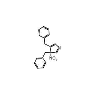 O=[N+]([O-])C1(Cc2ccccc2)C=NC=C1Cc1ccccc1